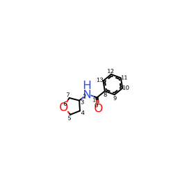 O=C(NC1CCOC1)c1ccccc1